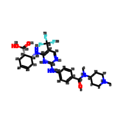 CN1CCC(N(C)C(=O)c2ccc(Nc3ncc(C(F)(F)F)c(N[C@@H]4CC=CC[C@@H]4C(=O)O)n3)cc2)CC1